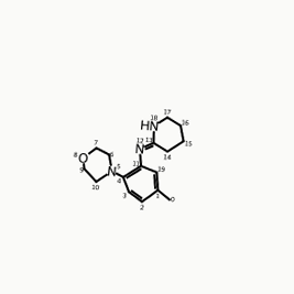 Cc1ccc(N2CCOCC2)c(/N=C2\CCCCN2)c1